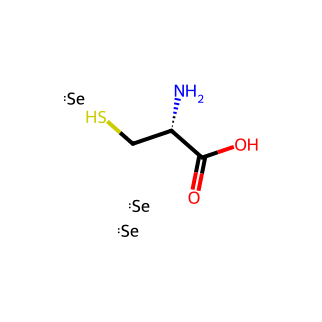 N[C@@H](CS)C(=O)O.[Se].[Se].[Se]